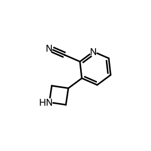 N#Cc1ncccc1C1CNC1